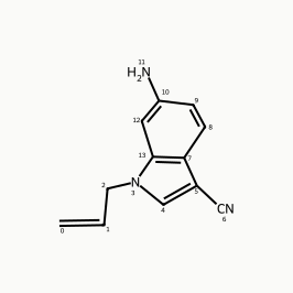 C=CCn1cc(C#N)c2ccc(N)cc21